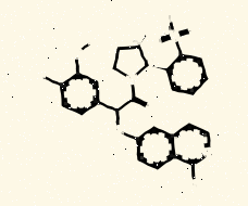 CCOc1cc(C(Nc2ccc3c(N)nccc3c2)C(=O)N2CC[C@@H](C(=O)O)[C@H]2c2ccccc2S(=O)(=O)C(C)C)ccc1Cl